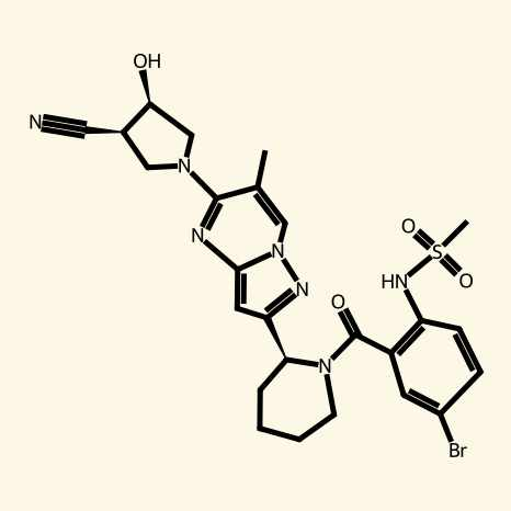 Cc1cn2nc([C@@H]3CCCCN3C(=O)c3cc(Br)ccc3NS(C)(=O)=O)cc2nc1N1C[C@@H](C#N)[C@@H](O)C1